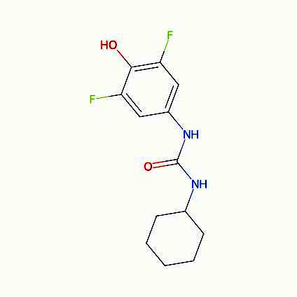 O=C(Nc1cc(F)c(O)c(F)c1)NC1CCCCC1